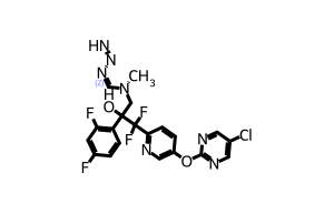 CN(/C=N\N=N)CC(O)(c1ccc(F)cc1F)C(F)(F)c1ccc(Oc2ncc(Cl)cn2)cn1